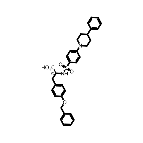 O=C(O)[C@H](Cc1ccc(OCc2ccccc2)cc1)NS(=O)(=O)c1ccc(N2CCC(c3ccccc3)CC2)cc1